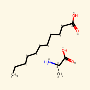 CCCCCCCCCCC(=O)O.C[C@H](N)C(=O)O